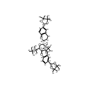 CC1(C)OB(c2ccc3c(c2)CC[C@H](C(OC([C@H]2CCc4cc(B5OC(C)(C)C(C)(C)O5)ccc4O2)[Si](C)(C)C(C)(C)C)[Si](C)(C)C(C)(C)C)O3)OC1(C)C